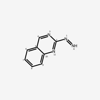 N=Nc1ncc2ccccc2n1